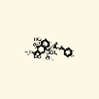 Cc1noc2c1C(=O)[C@]1(O)[C@@H]([C@@H](OC(=O)OCc3ccccc3)C=C[C@H]1O)[C@@H]2N(C)C